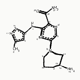 Cc1cc(Nc2nc(N3CCC[C@H](N)C3)cnc2C(N)=O)sn1